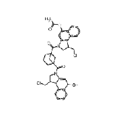 CC(=O)Oc1cc2c(c3ccccc13)C(CCl)CN2C(=O)C12CCCC(C(=O)N3CC(CCl)C4C3=CC(O)c3ccccc34)(C1)C2